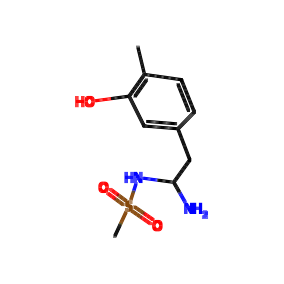 Cc1ccc(CC(N)NS(C)(=O)=O)cc1O